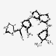 Cc1ccc(Nc2ncc3ccn(-c4ccc(C(=O)N5CCOCC5)c(C)c4)c3n2)cc1C